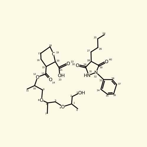 CC(CO)OCC(C)OCC(C)OC(=O)C1CCCCC1C(=O)O.CCCCC1C(=O)NN(c2ccccc2)C1=O